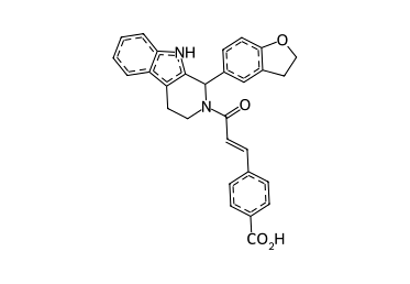 O=C(O)c1ccc(C=CC(=O)N2CCc3c([nH]c4ccccc34)C2c2ccc3c(c2)CCO3)cc1